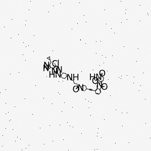 Cn1ncc(-c2nc(NC3CCC(NCCCCC(=O)N4CCC(C#Cc5cccc6c5CN(C5CCC(=O)NC5=O)C6=O)CC4)CC3)ncc2Cl)c1CC1CC1